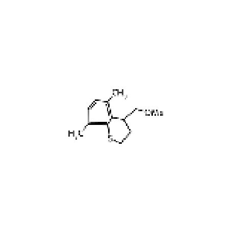 COCC1CCSc2c(C)ccc(C)c21